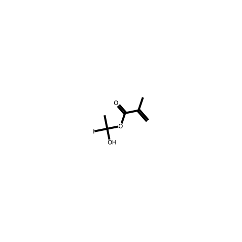 C=C(C)C(=O)OC(C)(O)I